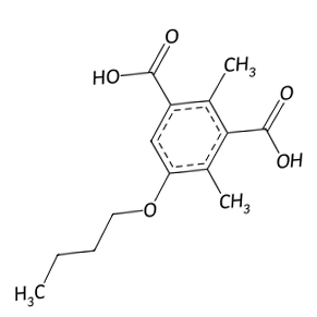 CCCCOc1cc(C(=O)O)c(C)c(C(=O)O)c1C